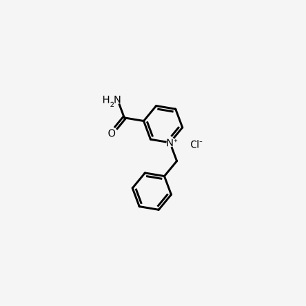 NC(=O)c1ccc[n+](Cc2ccccc2)c1.[Cl-]